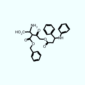 NC(C(=O)O)C(C(=O)COC(=O)CC(Nc1ccccc1)c1ccccc1)C(=O)OCc1ccccc1